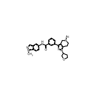 CC(=O)N1CCc2c(c(-c3cccc(C(=O)Nc4ccc5c(cnn5C)c4)c3)nn2C2CCOC2)C1